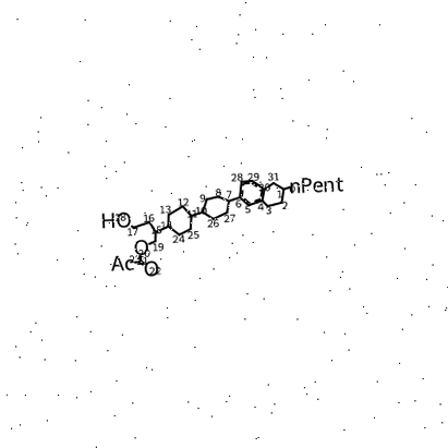 CCCCCC1CCc2cc(C3CCC(C4CCC(C(CCO)COC(=O)C(C)=O)CC4)CC3)ccc2C1